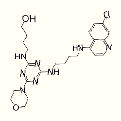 OCCCCNc1nc(NCCCCNc2ccnc3cc(Cl)ccc23)nc(N2CCOCC2)n1